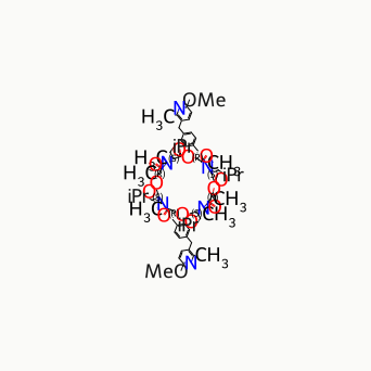 COc1ccc(Cc2ccc(C[C@H]3OC(=O)[C@H](CC(C)C)N(C)C(=O)[C@@H](C)OC(=O)[C@H](CC(C)C)N(C)C(=O)[C@@H](Cc4ccc(Cc5ccc(OC)nc5C)cc4)OC(=O)[C@H](CC(C)C)N(C)C(=O)[C@@H](C)OC(=O)[C@H](CC(C)C)N(C)C3=O)cc2)c(C)n1